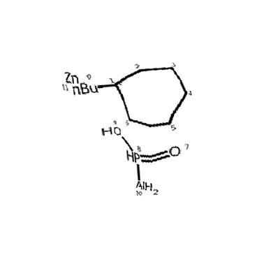 CCCC[C]1CCCCC1.O=[PH](O)[AlH2].[Zn]